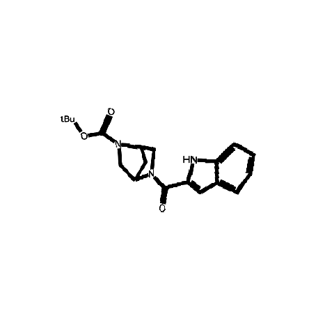 CC(C)(C)OC(=O)N1CC2CC1CN2C(=O)c1cc2ccccc2[nH]1